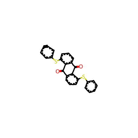 O=C1c2cccc(Sc3ccccc3)c2C(=O)c2cccc(Sc3cc#ccc3)c21